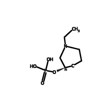 CCN1CCC[C@H](OP(=O)(O)O)C1